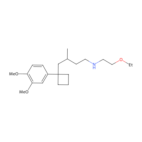 CCOCCNCCC(C)CC1(c2ccc(OC)c(OC)c2)CCC1